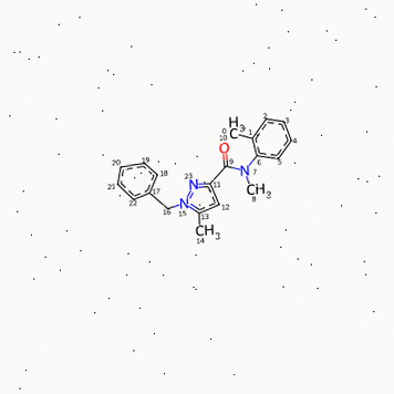 Cc1ccccc1N(C)C(=O)c1cc(C)n(Cc2ccccc2)n1